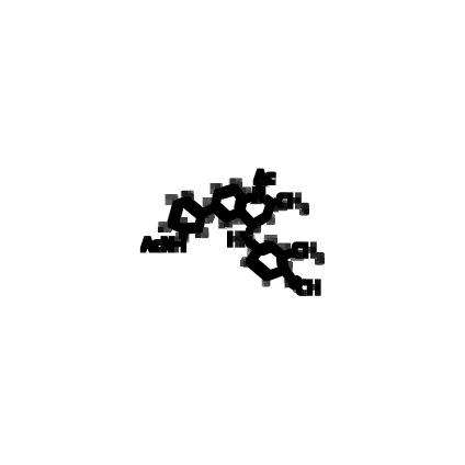 C#Cc1ccc(N[C@@H]2C[C@H](C)N(C(C)=O)c3ccc(-c4cccc(NC(C)=O)c4)cc32)cc1C